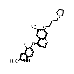 Cc1cc2c(F)c(Oc3ccnc4cc(OCCCN5CCCC5)c(C#N)cc34)ccc2[nH]1